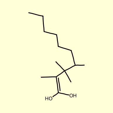 CCCCCCC(C)C(C)(C)C(C)=C(O)O